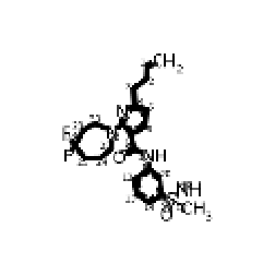 C=CCCc1ccc(C(=O)Nc2cccc([S@](C)(=N)=O)c2)c(N2CCCC(F)(F)CC2)n1